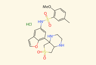 COc1ccc(C)cc1S(=O)(=O)Nc1cc(C23CS(=O)(=O)CC2NCCN3)c2occc2c1.Cl